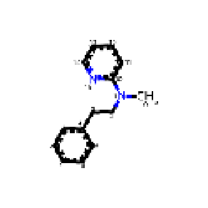 CN(CCc1ccccc1)c1cc[c]cn1